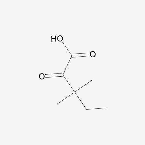 CCC(C)(C)C(=O)C(=O)O